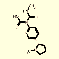 CNC(=O)N(C(=O)O)c1ccc([C@@H]2CCCN2C)cn1